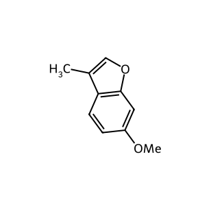 COc1ccc2c(C)coc2c1